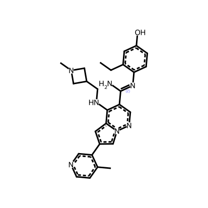 CCc1cc(O)ccc1/N=C(\N)c1cnn2cc(-c3cnccc3C)cc2c1NCC1CN(C)C1